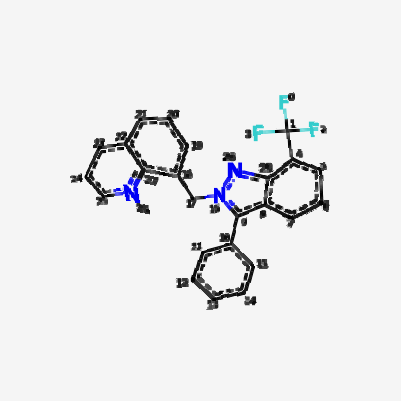 FC(F)(F)c1cccc2c(-c3ccccc3)n(Cc3cccc4cccnc34)nc12